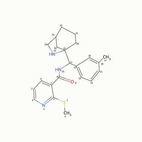 CSc1ncccc1C(=O)NC(c1cccc(C)c1)C12CCCC(CN1)C2